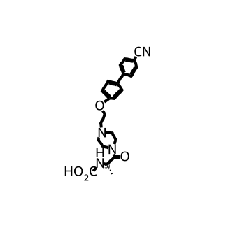 C[C@H](NC(=O)O)C(=O)N1CCN(CCOc2ccc(-c3ccc(C#N)cc3)cc2)CC1